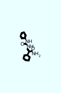 NC(=O)C(=CNC(=O)Nc1ccccc1)c1ccccc1